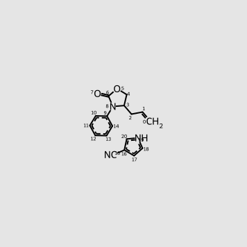 C=CCC1COC(=O)N1c1ccccc1.N#Cc1cc[nH]c1